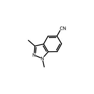 Cc1nn(C)c2ccc(C#N)cc12